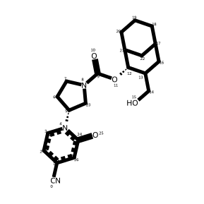 N#Cc1ccn([C@@H]2CCN(C(=O)O[C@H]3C(CO)CC4CCCC3C4)C2)c(=O)c1